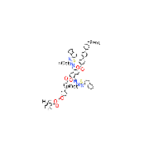 C=C(C(=O)OCCOC1CCC(C2CCC(C(=O)Oc3ccc4c(/C=N/N(CCCCCCCC)c5nc6c(ccc7ccccc76)s5)c(OC(=O)c5ccc(-c6ccc(C7CCC(CCCCC)CC7)cc6)cc5)ccc4c3/C=N/N(CCCCCCCC)c3nc4c(ccc5ccccc54)s3)CC2)CC1)C(F)(F)F